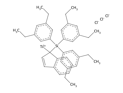 CCc1cc(CC)cc([Si](c2cc(CC)cc(CC)c2)(c2cc(CC)cc(CC)c2)[C]2([Ti+3])C=Cc3ccccc32)c1.[Cl-].[Cl-].[Cl-]